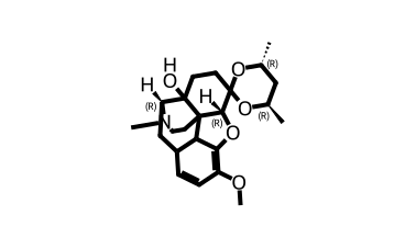 COC1=C2O[C@H]3C4(CCC5(O)[C@H]6CC(C=C1)C2C35CCN6C)O[C@H](C)C[C@@H](C)O4